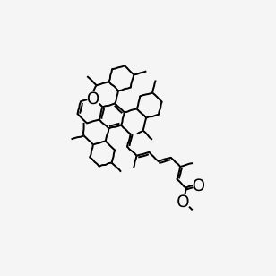 COC(=O)C=C(C)C=CC=C(C)C=Cc1c(C2CC(C)CCC2C(C)C)c2c(c(C3CC(C)CCC3C(C)C)c1C1CC(C)CCC1C(C)C)OC=CC2